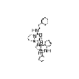 O=C(NCCc1ccccc1)N1CCCC[C@@H]1C(=O)N1CC[C@@H]2[C@H](C3C=CC=CC3)Nc3ccccc3[C@@H]21